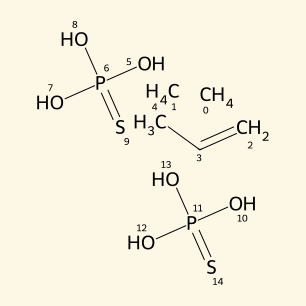 C.C.C=CC.OP(O)(O)=S.OP(O)(O)=S